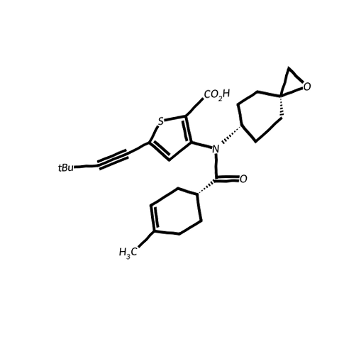 CC1=CC[C@H](C(=O)N(c2cc(C#CC(C)(C)C)sc2C(=O)O)[C@H]2CC[C@]3(CC2)CO3)CC1